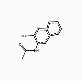 CC(=O)Nc1cc2ccccc2nc1O